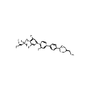 CCCC1CCC(c2ccc(-c3ccc(-c4cc(F)c(OC(F)(F)C=C(F)F)c(F)c4)c(F)c3)cc2)OC1